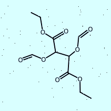 CCOC(=O)C(OC=O)C(OC=O)C(=O)OCC